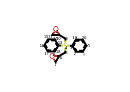 c1ccc(S(CC2CO2)(CC2CO2)c2ccccc2)cc1